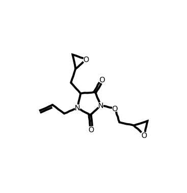 C=CCN1C(=O)N(OCC2CO2)C(=O)C1CC1CO1